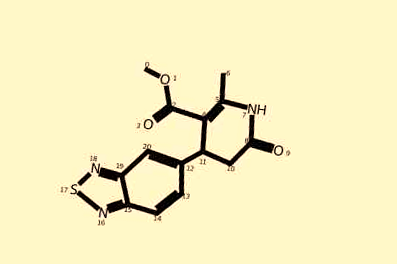 COC(=O)C1=C(C)NC(=O)CC1c1ccc2nsnc2c1